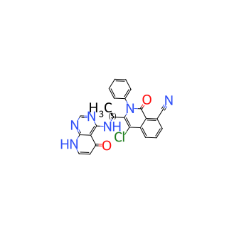 C[C@H](Nc1ncnc2[nH]ccc(=O)c12)c1c(Cl)c2cccc(C#N)c2c(=O)n1-c1ccccc1